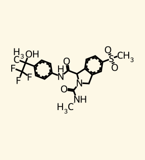 CNC(=O)N1Cc2cc(S(C)(=O)=O)ccc2C1C(=O)Nc1ccc(C(C)(O)C(F)(F)F)cc1